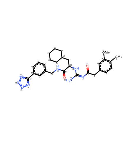 COc1ccc(CC(=O)N=C(N)NC(CC2CCCCC2)C(=O)NCc2cccc(-c3nnn[nH]3)c2)cc1OC